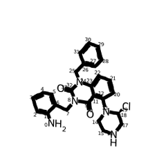 Nc1ccccc1Cn1c(=O)c2c(N3CCNC[C@@H]3Cl)cccc2n(Cc2ccccc2)c1=O